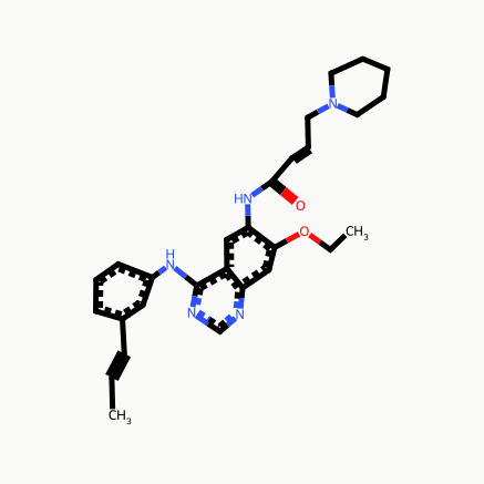 CC#Cc1cccc(Nc2ncnc3cc(OCC)c(NC(=O)/C=C/CN4CCCCC4)cc23)c1